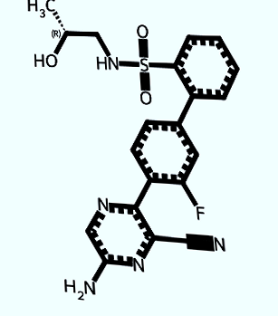 C[C@@H](O)CNS(=O)(=O)c1ccccc1-c1ccc(-c2ncc(N)nc2C#N)c(F)c1